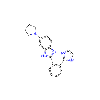 c1ccc(-c2nc3ccc(N4CCCC4)cc3[nH]2)c(-c2ncc[nH]2)c1